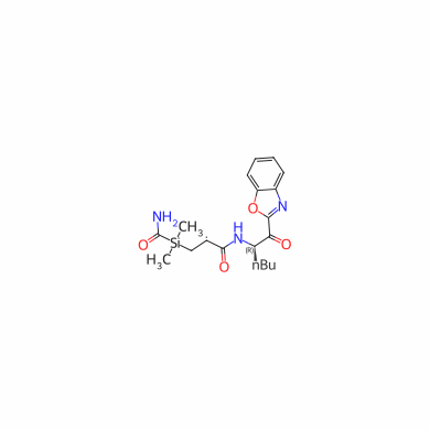 CCCC[C@@H](NC(=O)[CH]C[Si](C)(C)C(N)=O)C(=O)c1nc2ccccc2o1